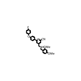 COc1ccc(CNCc2cc(C#N)nc(-c3ccc(Oc4ccc(F)cc4)cc3)c2)c(OC)c1